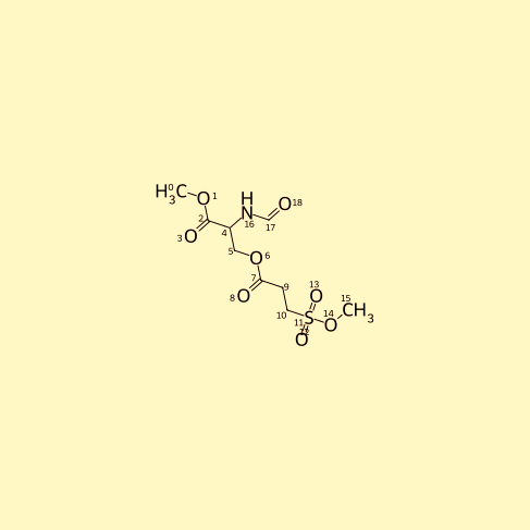 COC(=O)C(COC(=O)CCS(=O)(=O)OC)NC=O